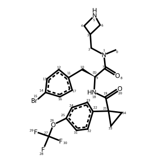 CN(CC1CNC1)C(=O)[C@H](Cc1ccc(Br)cc1)NC(=O)C1(c2ccc(OC(F)(F)F)cc2)CC1